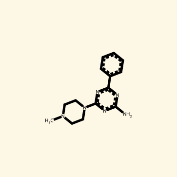 CN1CCN(c2nc(N)nc(-c3ccccc3)n2)CC1